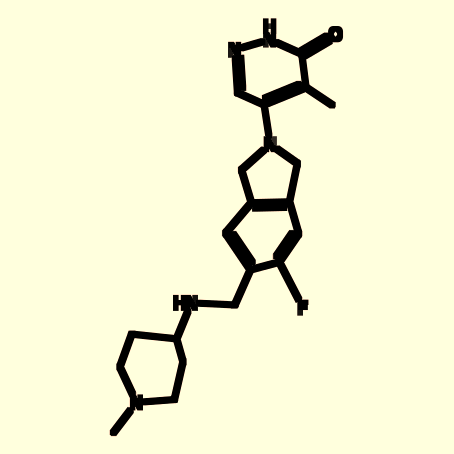 Cc1c(N2Cc3cc(F)c(CNC4CCN(C)CC4)cc3C2)cn[nH]c1=O